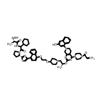 C=CC(=O)N1CCN(c2nc(O[C@H](C)CN3CCC(OCCOc4ccc(-c5csc([C@@H]6CCCN6C(=O)C(NC(=O)[C@H](C)NC)C6CCCCC6)n5)c5ccccc45)CC3)nc3c2CCN(c2cc(O)cc4ccccc24)C3)CC1